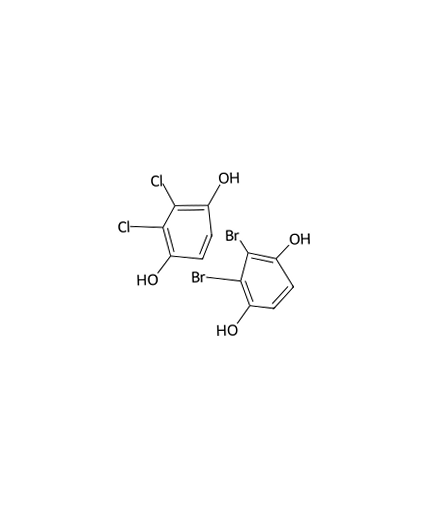 Oc1ccc(O)c(Br)c1Br.Oc1ccc(O)c(Cl)c1Cl